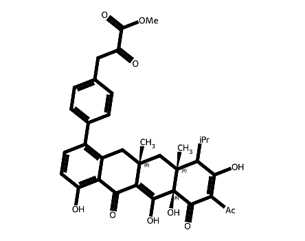 COC(=O)C(=O)Cc1ccc(-c2ccc(O)c3c2C[C@]2(C)C[C@]4(C)C(C(C)C)C(O)=C(C(C)=O)C(=O)[C@]4(O)C(O)=C2C3=O)cc1